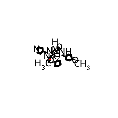 COc1ccc(CNS(=O)(=O)Nc2nc(-c3ccncc3)nc(Cl)c2Oc2ccccc2OC)cc1